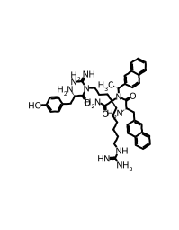 C[C@H](c1ccc2ccccc2c1)N(C(=O)[C@@H](N)Cc1ccc2ccccc2c1)[C@@](CCCCCCNC(=N)N)(CCCN(C(=N)N)C(=O)[C@@H](N)Cc1ccc(O)cc1)C(N)=O